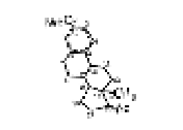 COc1ccc2c(c1)CCC1C2CC[C@]2(C)C(C(C)=O)CCC12